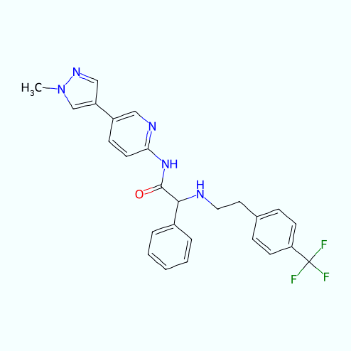 Cn1cc(-c2ccc(NC(=O)C(NCCc3ccc(C(F)(F)F)cc3)c3ccccc3)nc2)cn1